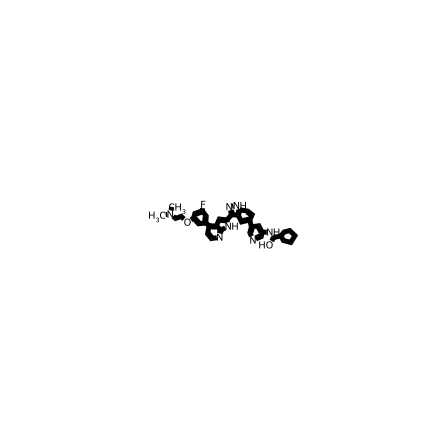 CN(C)CCOc1cc(F)cc(-c2ccnc3[nH]c(-c4n[nH]c5ccc(-c6cncc(NC(O)C7CCCCC7)c6)cc45)cc23)c1